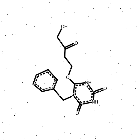 O=C(CO)CCOc1[nH]c(=O)[nH]c(=O)c1Cc1ccccc1